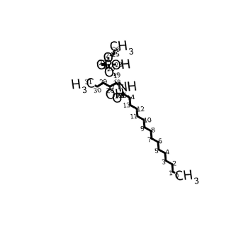 CCCCCCCCCCCCCCCC(=O)N[C@@H](COP(=O)(O)OCC)[C@H](O)CCC